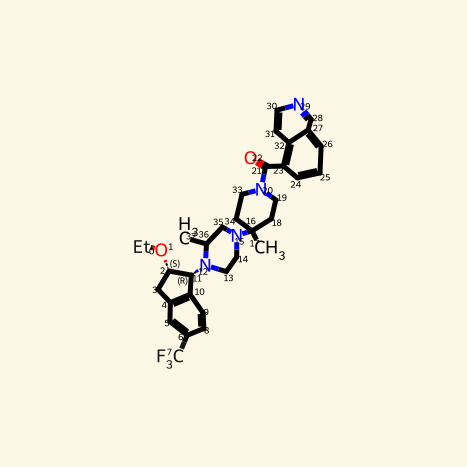 CCO[C@H]1Cc2cc(C(F)(F)F)ccc2[C@H]1N1CCN(C2(C)CCN(C(=O)c3cccc4cnccc34)CC2)CC1C